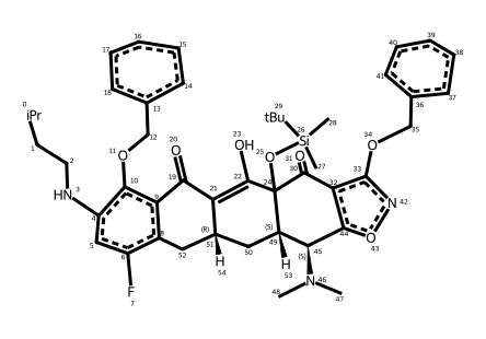 CC(C)CCNc1cc(F)c2c(c1OCc1ccccc1)C(=O)C1=C(O)C3(O[Si](C)(C)C(C)(C)C)C(=O)c4c(OCc5ccccc5)noc4[C@@H](N(C)C)[C@@H]3C[C@@H]1C2